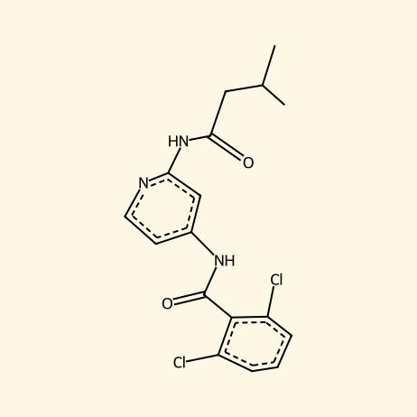 CC(C)CC(=O)Nc1cc(NC(=O)c2c(Cl)cccc2Cl)ccn1